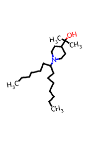 CCCCCCCC(CCCCCC)N1CCC(C(C)(C)O)CC1